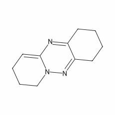 C1=C2N=C3CCCCC3=NN2CCC1